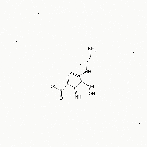 N=C1C([N+](=O)[O-])=CC=C(NCCN)C1NO